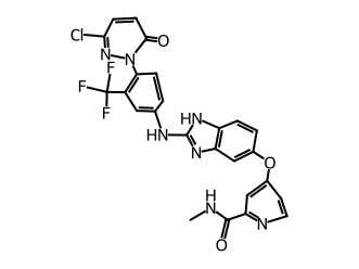 CNC(=O)c1cc(Oc2ccc3[nH]c(Nc4ccc(-n5nc(Cl)ccc5=O)c(C(F)(F)F)c4)nc3c2)ccn1